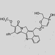 CCCc1cc2n(c(=O)c1COC(=O)O)Cc1c-2nc2ccccc2c1CO[C@@H]1C=C[C@H](O)C(CO)O1